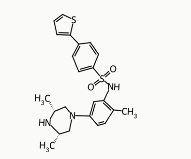 Cc1ccc(N2C[C@@H](C)N[C@@H](C)C2)cc1NS(=O)(=O)c1ccc(-c2cccs2)cc1